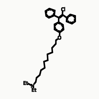 CCN(CC)CCCCCCCCCCCCOc1ccc(/C(=C(/Cl)c2ccccc2)c2ccccc2)cc1